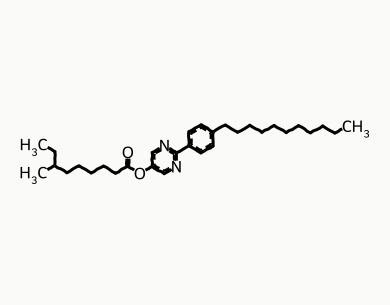 CCCCCCCCCCCc1ccc(-c2ncc(OC(=O)CCCCCC(C)CC)cn2)cc1